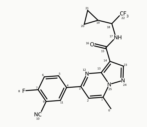 Cc1cc(-c2ccc(F)c(C#N)c2)nc2c(C(=O)NC(C3CC3)C(F)(F)F)cnn12